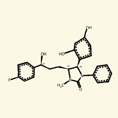 CN1C(=O)N(c2ccccc2)[C@H](c2ccc(O)cc2O)[C@@H]1CC[C@H](O)c1ccc(F)cc1